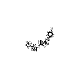 C=C(CCc1nnc(C2CCCO2)o1)NC(=O)COc1ccc(C)cc1